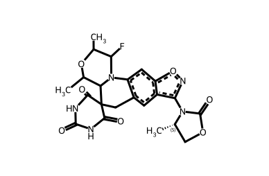 CC1OC(C)C2N(c3cc4onc(N5C(=O)OC[C@@H]5C)c4cc3CC23C(=O)NC(=O)NC3=O)C1F